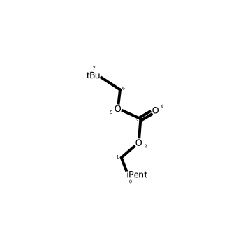 CCCC(C)COC(=O)OCC(C)(C)C